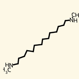 CNCCCCCCCCCCCCCCNC